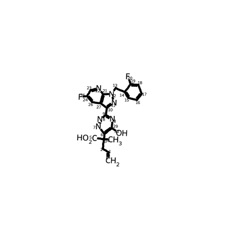 C=CCC(C)(C(=O)O)c1nnc(-c2nn(Cc3ccccc3F)c3ncc(F)cc23)nc1O